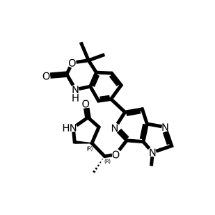 C[C@@H](Oc1nc(-c2ccc3c(c2)NC(=O)OC3(C)C)cc2ncn(C)c12)[C@H]1CNC(=O)C1